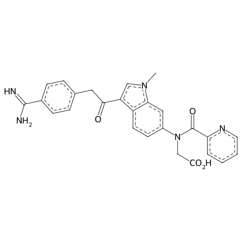 Cn1cc(C(=O)Cc2ccc(C(=N)N)cc2)c2ccc(N(CC(=O)O)C(=O)c3ccccn3)cc21